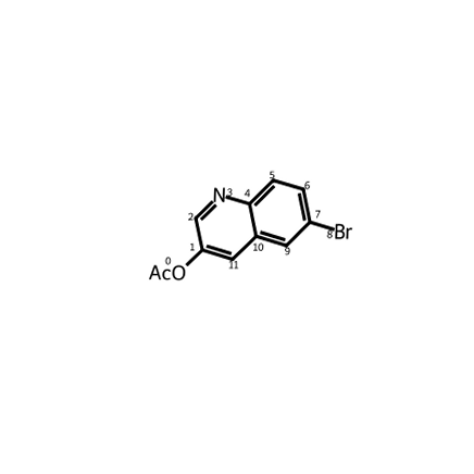 CC(=O)Oc1cnc2ccc(Br)cc2c1